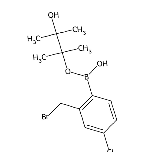 CC(C)(O)C(C)(C)OB(O)c1ccc(Cl)cc1CBr